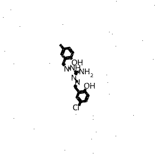 Cc1ccc(O)c(/C=N\N/C(N)=N/N=C/c2cc(Cl)ccc2O)c1